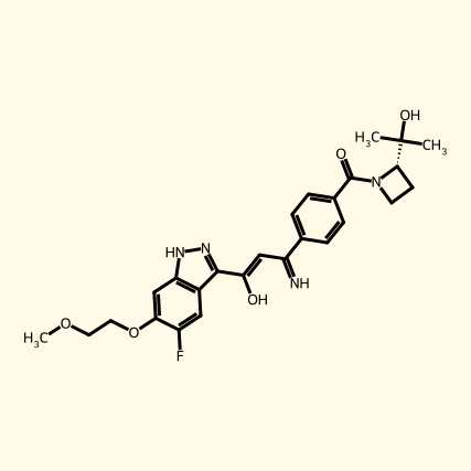 COCCOc1cc2[nH]nc(/C(O)=C/C(=N)c3ccc(C(=O)N4CC[C@H]4C(C)(C)O)cc3)c2cc1F